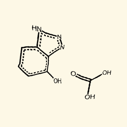 O=C(O)O.Oc1cccc2[nH]nnc12